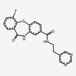 O=C(NCCc1cncnc1)c1ccc2c(c1)NC(=O)c1cccc(F)c1S2